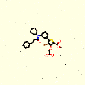 COC(=O)c1sc(-c2cccc(N(C(=O)C=Cc3ccccc3)C3CCCCC3)c2)c(Br)c1OCC(=O)O